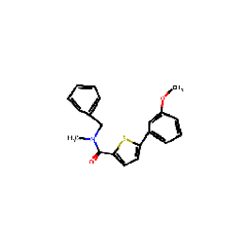 COc1cccc(-c2ccc(C(=O)N(C)Cc3ccccc3)s2)c1